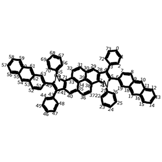 c1ccc(-c2c(-c3ccc4cc5ccccc5cc4c3)n(-c3ccccc3)c3c2cc2ccc4c5c(ccc3c25)cc2c(-c3ccccc3)c(-c3ccc5cc6ccccc6cc5c3)n(-c3ccccc3)c24)cc1